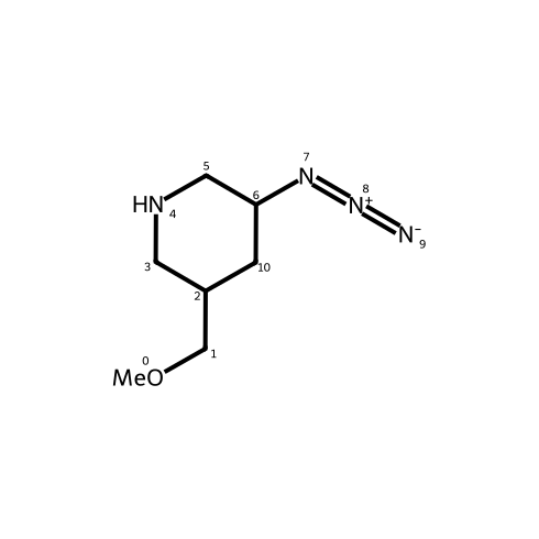 COCC1CNCC(N=[N+]=[N-])C1